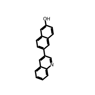 Oc1ccc2cc(-c3cnc4ccccc4c3)ccc2c1